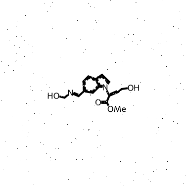 COC(=O)/C(=C/CO)n1ccc2ccc(/C=N/CO)cc21